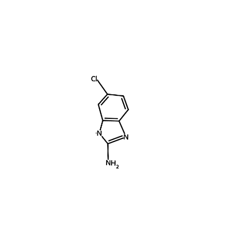 NC1=Nc2ccc(Cl)cc2[N]1